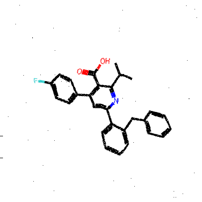 CC(C)c1nc(-c2ccccc2Cc2ccccc2)cc(-c2ccc(F)cc2)c1C(=O)O